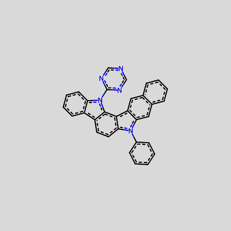 c1ccc(-n2c3cc4ccccc4cc3c3c2ccc2c4ccccc4n(-c4ncncn4)c23)cc1